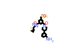 C[SH](C)(=O)Cc1cc(C(=O)N2CCC(c3cccc(CN)c3)CC2)cc(-c2nc(-c3cccs3)no2)c1